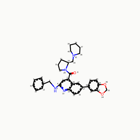 O=C(c1cc(NCc2ccccc2)nc2ccc(-c3ccc4c(c3)OCO4)cc12)N1CCC[C@H]1CN1CCCCC1